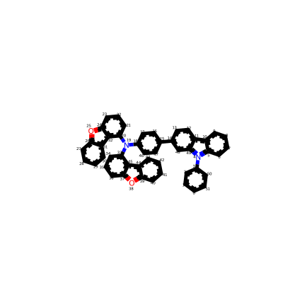 c1ccc(-n2c3ccccc3c3ccc(-c4ccc(N(c5cccc6oc7ccccc7c56)c5cccc6oc7ccccc7c56)cc4)cc32)cc1